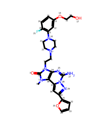 Cn1c(=O)n(CCN2CCN(c3cc(OCCO)ccc3F)CC2)c2nc(N)n3nc(-c4ccco4)cc3c21